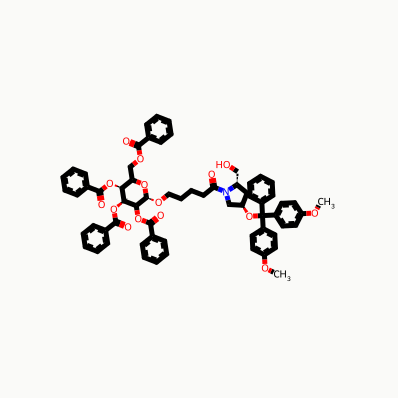 COc1ccc(C(O[C@@H]2C[C@@H](CO)N(C(=O)CCCCO[C@H]3OC(COC(=O)c4ccccc4)[C@@H](OC(=O)c4ccccc4)[C@H](OC(=O)c4ccccc4)C3OC(=O)c3ccccc3)C2)(c2ccccc2)c2ccc(OC)cc2)cc1